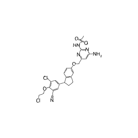 CS(=O)(=O)Nc1nc(N)cc(COc2ccc3c(c2)CCC3c2cc(Cl)c(OCCCl)c(C#N)c2)n1